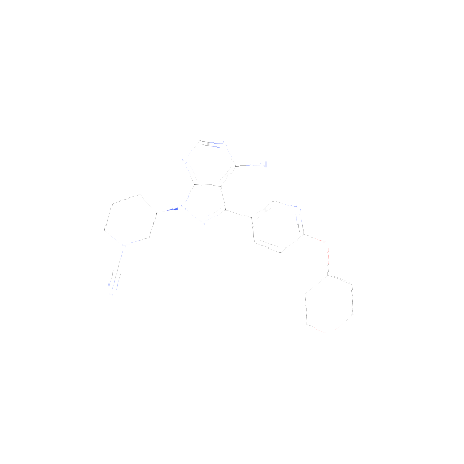 N#CN1CCC[C@@H](n2nc(-c3ccc(OC4CCOCC4)nc3)c3c(N)ncnc32)C1